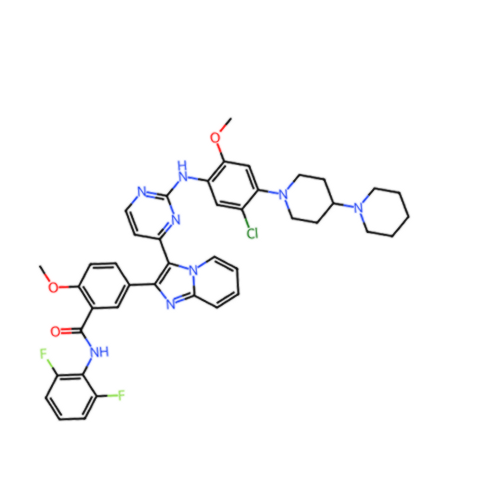 COc1cc(N2CCC(N3CCCCC3)CC2)c(Cl)cc1Nc1nccc(-c2c(-c3ccc(OC)c(C(=O)Nc4c(F)cccc4F)c3)nc3ccccn23)n1